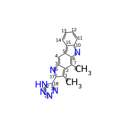 CC1=c2c(cc3c(c2C)N=c2ccccc2=3)N=C1c1nnn[nH]1